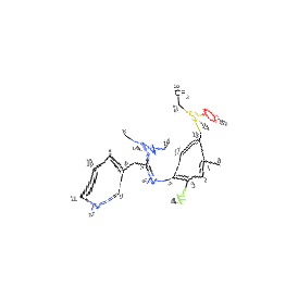 Cc1cc(F)c(/N=C(/c2cccnc2)N(C)C)cc1[S+]([O-])CC(F)(F)F